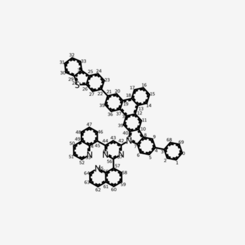 c1ccc(-c2ccc3c(c2)c2cc4c5ccccc5c5cc(-c6ccc7c(c6)sc6ccccc67)ccc5c4cc2n3-c2cc(-c3cccc4cccnc34)nc(-c3cccc4cccnc34)n2)cc1